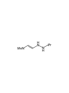 CNC=CNNC(C)C